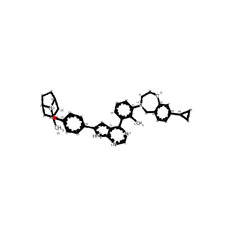 Cc1c(-c2ncnc3[nH]c(-c4ccc(CN5C6CCC5CN(C)C6)cc4)cc23)cccc1N1CCOc2cc(C3CC3)ccc2C1